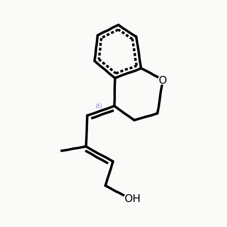 CC(=CCO)/C=C1\CCOc2ccccc21